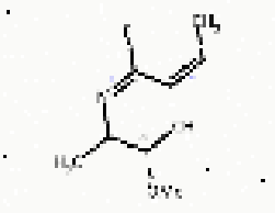 C/C=C\C(F)=N/C(C)[C@H](C)OC